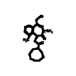 Cc1cccc2c1N(CC(=O)N1CCCCCCC1)C(=O)[C@@H](N)N=C2CC(C)C